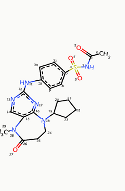 CC(=O)NS(=O)(=O)c1ccc(Nc2ncc3c(n2)N(C2CCCC2)CCC(=O)N3C)cc1